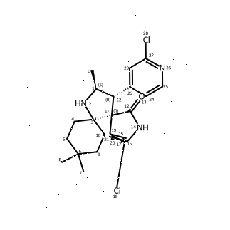 C[C@@H]1NC2(CCC(C)(C)CC2)[C@@]2(C(=O)Nc3cc(Cl)ccc32)[C@H]1c1ccnc(Cl)c1